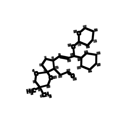 CC1(C)COC2(CCC(C=CC(OC3CCCCO3)C3CCCCC3)C2CC=O)OC1